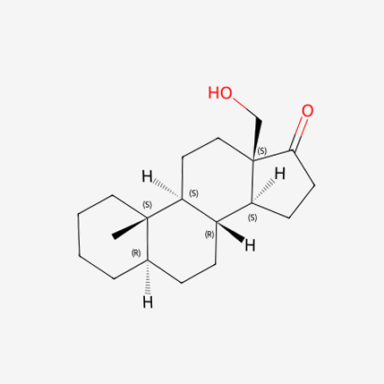 C[C@]12CCCC[C@@H]1CC[C@H]1[C@@H]3CCC(=O)[C@@]3(CO)CC[C@@H]12